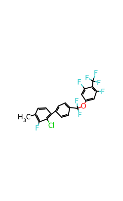 Cc1ccc(-c2ccc(C(F)(F)Oc3cc(F)c(C(F)(F)F)c(F)c3)cc2)c(Cl)c1F